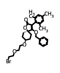 Cc1cc(C)c(C2=C(OCc3ccccc3)[C@]3(CC[C@H](OCCOCCBr)CC3)OC2=O)c(C)c1